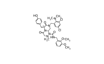 COc1cccc(CNC(=O)N2C3CN(Cc4cc(Cl)cc(Cl)c4N(C)C)C(=O)[C@H](Cc4ccc(O)cc4)N3C(=O)CN2C)c1OC